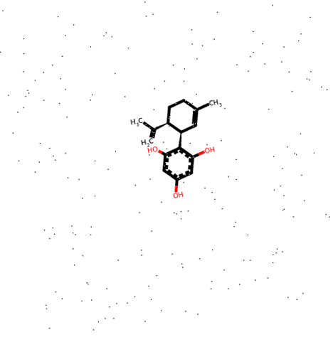 C=C(C)[C@H]1CCC(C)=C[C@H]1c1c(O)cc(O)cc1O